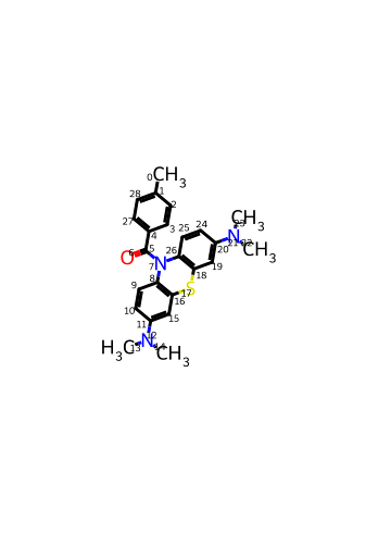 Cc1ccc(C(=O)N2c3ccc(N(C)C)cc3Sc3cc(N(C)C)ccc32)cc1